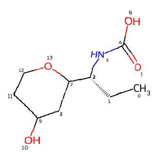 CC[C@@H](NC(=O)O)C1CC(O)CCO1